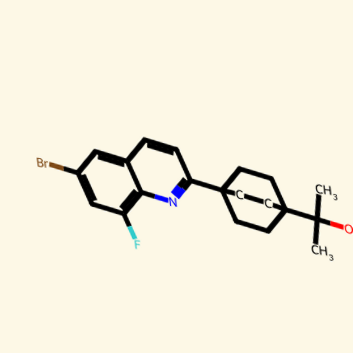 CC(C)(O)C12CCC(c3ccc4cc(Br)cc(F)c4n3)(CC1)CC2